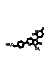 Cn1c(=O)n(C2CCC(=O)NC2=O)c2ccc(-c3ccc(CC(=O)O)cc3)nc21